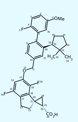 COc1ccc(F)c(-c2ccc(COc3cc(F)c4c(c3F)[C@@]3(CC4)C[C@@H]3C(=O)O)cc2[C@H]2CCCC2(C)C)c1